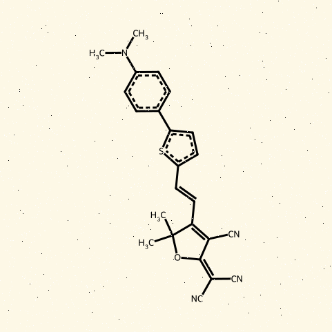 CN(C)c1ccc(-c2ccc(/C=C/C3=C(C#N)C(=C(C#N)C#N)OC3(C)C)s2)cc1